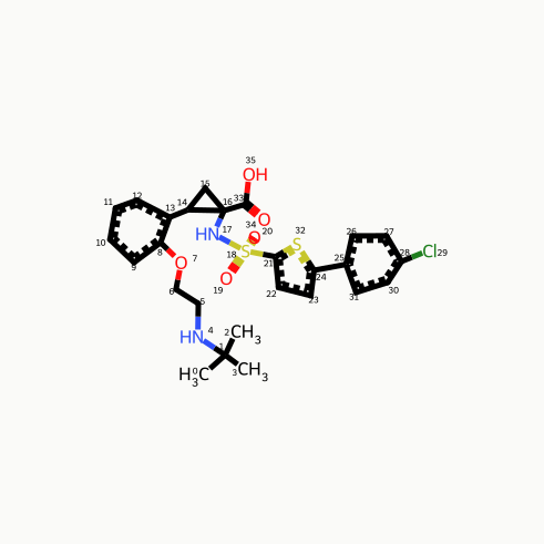 CC(C)(C)NCCOc1ccccc1C1CC1(NS(=O)(=O)c1ccc(-c2ccc(Cl)cc2)s1)C(=O)O